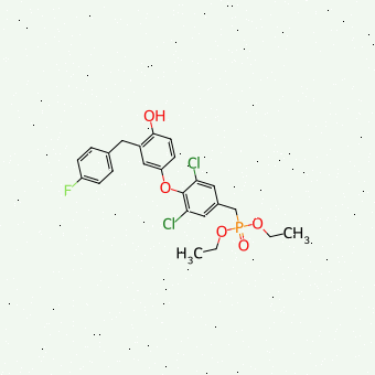 CCOP(=O)(Cc1cc(Cl)c(Oc2ccc(O)c(Cc3ccc(F)cc3)c2)c(Cl)c1)OCC